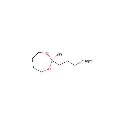 CCCCCCCCCCC1(CCC)OCCCCO1